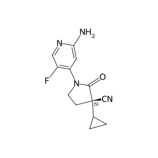 N#C[C@@]1(C2CC2)CCN(c2cc(N)ncc2F)C1=O